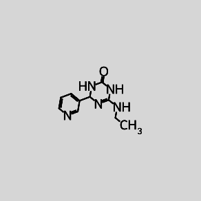 CCNC1=NC(c2cccnc2)NC(=O)N1